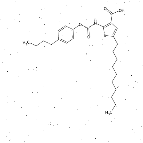 CCCCCCCCCCc1cc(C(=O)O)c(NC(=O)Oc2ccc(CCCC)cc2)s1